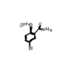 CNC(=O)c1cc(Br)ccc1OC